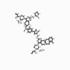 C=CC(=O)N1CCN(c2nc(OC[C@@H]3CC(c4ccc5c(c4)C[C@@]4(CCc6c(nc(OC[C@@H]7CCCN7C)nc6N6CCN(C(=O)C=C)[C@@H](CC#N)C6)C4)CN5C)CN3C)nc3c2CC[C@@]2(CCc4c(F)cccc4C2)C3)C[C@@H]1CC#N